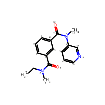 CCN(C)C(=O)c1cccc(C(=O)N(C)c2cccnc2)c1